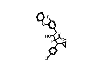 COC(=O)C(F)(C(O)Cc1ccc(F)c(Oc2ccccc2)c1)C(c1ccc(Cl)cc1)C1CC1